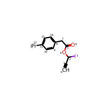 C#CC(I)OC(=O)Cc1ccc(C(C)C)cc1